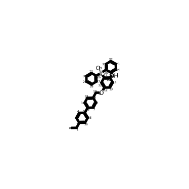 CCc1ccc(-c2ccc(COc3ccc(O)c(P(=O)(c4ccccc4)c4ccccc4)c3)cc2)cc1